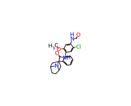 COc1cc(NC=O)c(Cl)cc1NC(=O)C1CC2CCC(C1)N2Cc1ccccc1